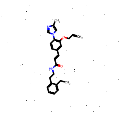 C=CCOc1cc(/C=C/C(=O)NCCc2ccccc2CC)ccc1-n1cnc(C)c1